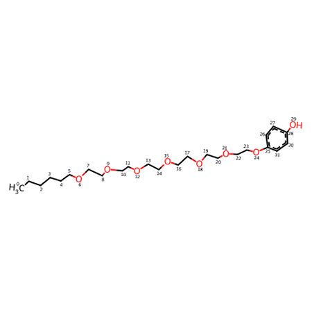 CCCCCCOCCOCCOCCOCCOCCOCCOc1ccc(O)cc1